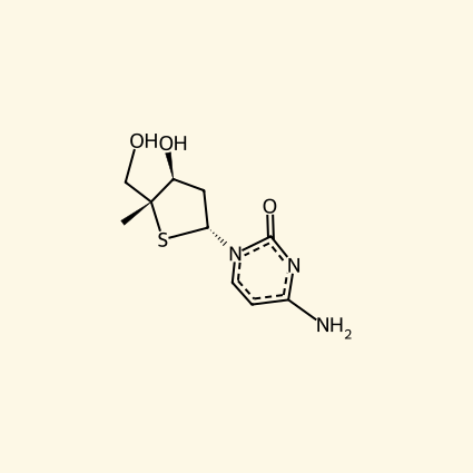 C[C@]1(CO)S[C@@H](n2ccc(N)nc2=O)C[C@@H]1O